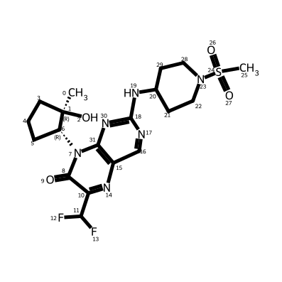 C[C@@]1(O)CCC[C@H]1n1c(=O)c(C(F)F)nc2cnc(NC3CCN(S(C)(=O)=O)CC3)nc21